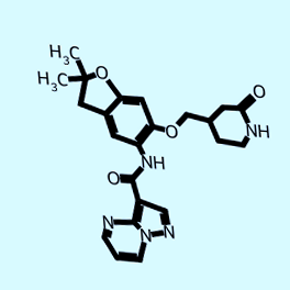 CC1(C)Cc2cc(NC(=O)c3cnn4cccnc34)c(OCC3CCNC(=O)C3)cc2O1